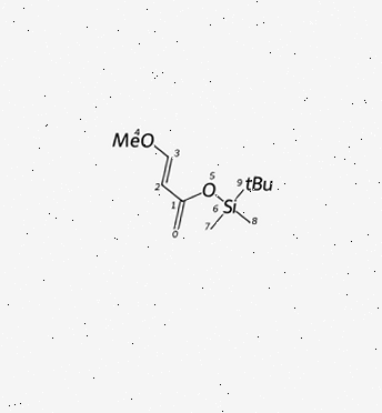 C=C(C=COC)O[Si](C)(C)C(C)(C)C